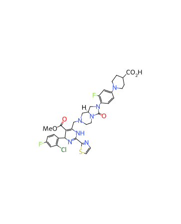 COC(=O)C1=C(CN2CCN3C(=O)N(c4ccc(N5CCC(C(=O)O)CC5)cc4F)C[C@@H]3C2)NC(c2nccs2)=NC1c1ccc(F)cc1Cl